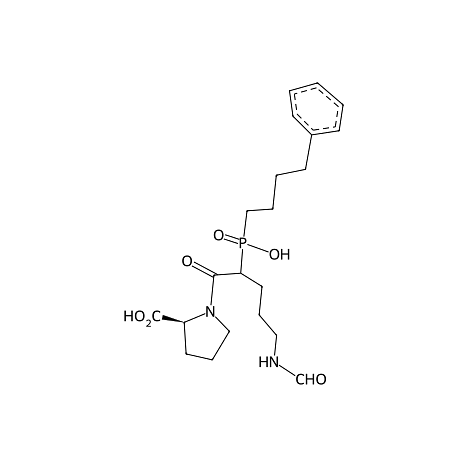 O=CNCCCC(C(=O)N1CCC[C@H]1C(=O)O)P(=O)(O)CCCCc1ccccc1